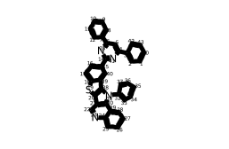 c1ccc(-c2cc(-c3ccccc3)nc(-c3ccc4sc5c6cnc7ccccc7c6n(-c6ccccc6)c5c4c3)n2)cc1